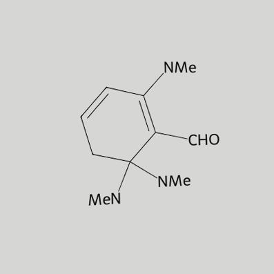 CNC1=C(C=O)C(NC)(NC)CC=C1